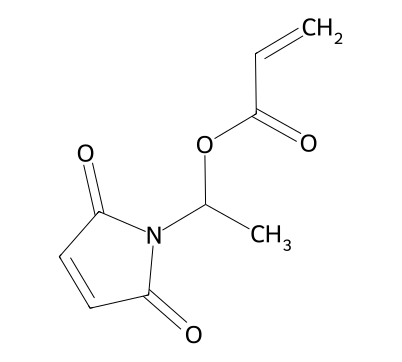 C=CC(=O)OC(C)N1C(=O)C=CC1=O